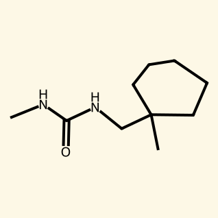 CNC(=O)NCC1(C)CCCCC1